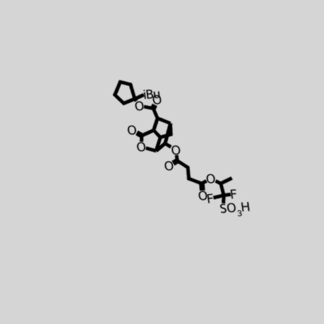 CCC(C)C1(OC(=O)C2C3CC4C(OC(=O)C42)C3OC(=O)CCC(=O)OC(C)C(F)(F)S(=O)(=O)O)CCCC1